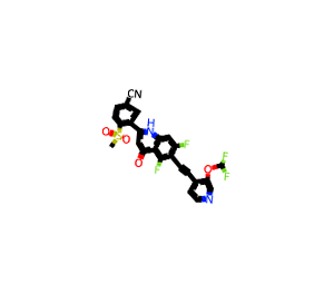 CS(=O)(=O)c1ccc(C#N)cc1-c1cc(=O)c2c(F)c(C#Cc3ccncc3OC(F)F)c(F)cc2[nH]1